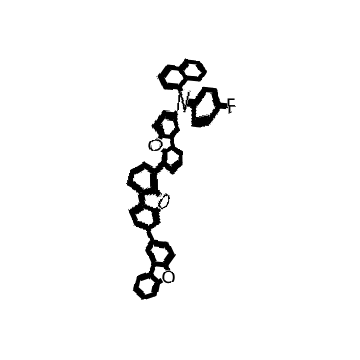 Fc1ccc(N(c2ccc3oc4c(-c5cccc6c5oc5cc(-c7ccc8oc9ccccc9c8c7)ccc56)cccc4c3c2)c2cccc3ccccc23)cc1